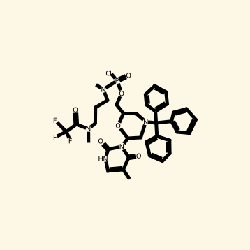 Cc1c[nH]c(=O)n(C2CN(C(c3ccccc3)(c3ccccc3)c3ccccc3)CC(COP(=O)(Cl)N(C)CCCN(C)C(=O)C(F)(F)F)O2)c1=O